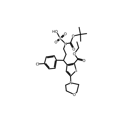 CCOC(=O)c1sc(N2CCOCC2)cc1C(CCN(C(=O)OC(C)(C)C)S(=O)(=O)O)c1ccc(Cl)cc1